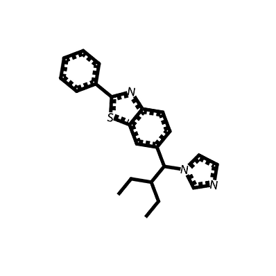 CCC(CC)C(c1ccc2nc(-c3ccccc3)sc2c1)n1ccnc1